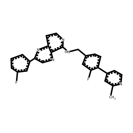 Cc1cc(-c2ccc(CNc3nccc4nc(-c5cccc(F)c5)cnc34)cc2F)ccn1